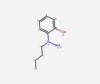 CCCCN(N)c1ccccc1O